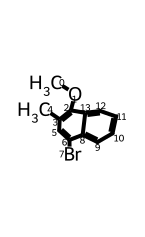 COc1c(C)cc(Br)c2ccccc12